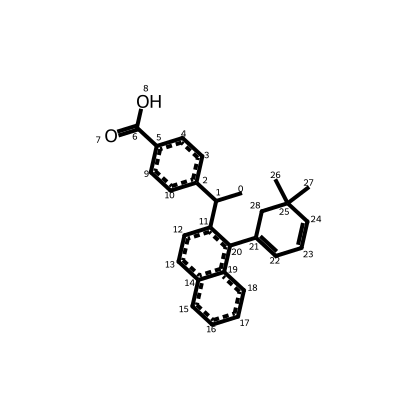 CC(c1ccc(C(=O)O)cc1)c1ccc2ccccc2c1C1=CC=CC(C)(C)C1